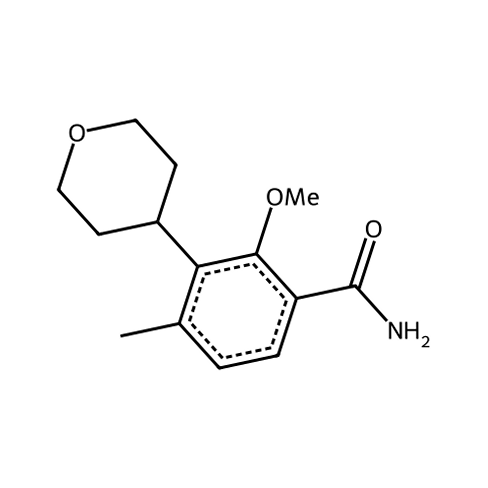 COc1c(C(N)=O)ccc(C)c1C1CCOCC1